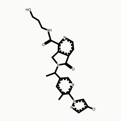 Cc1cc(C(C)N2Cc3c(ccnc3C(=O)NCCCO)C2=O)cnc1-n1cc(Cl)cn1